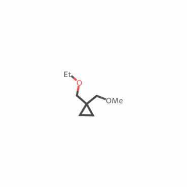 CCOCC1(COC)CC1